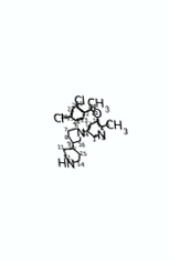 Cc1ncc(N2CCCC(C3CCNCC3)C2)cc1O[C@H](C)c1ccc(Cl)cc1Cl